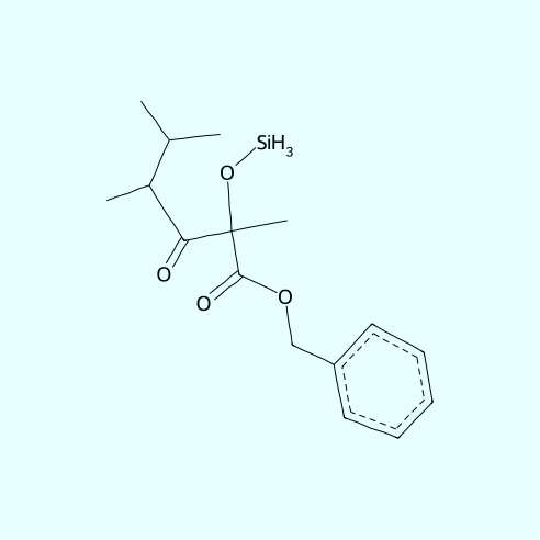 CC(C)C(C)C(=O)C(C)(O[SiH3])C(=O)OCc1ccccc1